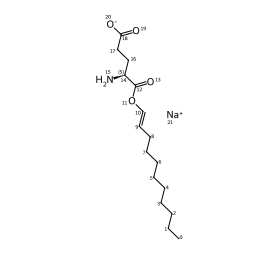 CCCCCCCCCC=COC(=O)[C@@H](N)CCC(=O)[O-].[Na+]